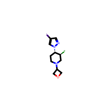 F[C@H]1CN(C2COC2)CC[C@@H]1n1cc(I)cn1